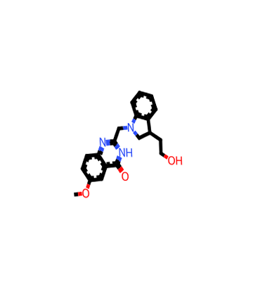 COc1ccc2nc(CN3CC(CCO)c4ccccc43)[nH]c(=O)c2c1